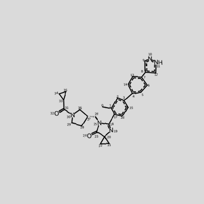 Cc1cc(-c2ccc(-c3cn[nH]c3)cc2)ccc1C1=NC2(CC2)C(=O)N1C[C@@H]1CCN(C(=O)C2CC2)C1